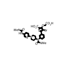 CNC(=O)Nc1ccc(N2CCC(N(C(=O)NC)c3cccc(-c4sc(C(=O)O)c(OCC(=O)O)c4Br)c3)CC2)nc1